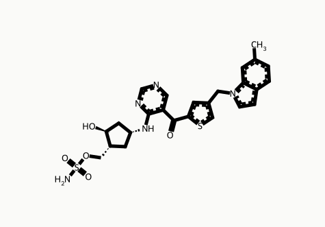 Cc1ccc2ccn(Cc3csc(C(=O)c4cncnc4N[C@@H]4C[C@H](COS(N)(=O)=O)[C@@H](O)C4)c3)c2c1